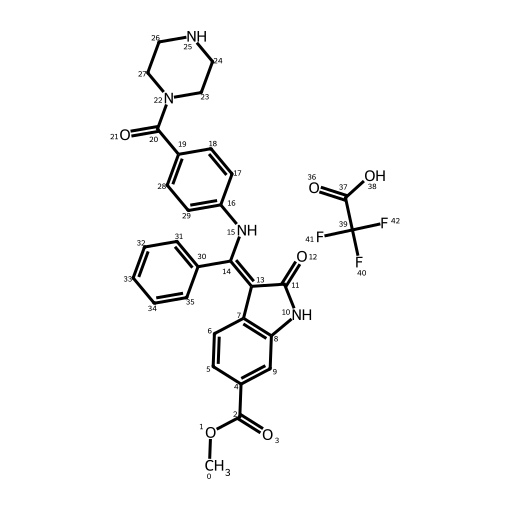 COC(=O)c1ccc2c(c1)NC(=O)/C2=C(\Nc1ccc(C(=O)N2CCNCC2)cc1)c1ccccc1.O=C(O)C(F)(F)F